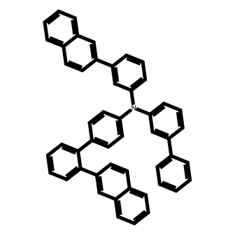 c1ccc(-c2cccc(N(c3ccc(-c4ccccc4-c4ccc5ccccc5c4)cc3)c3cccc(-c4ccc5ccccc5c4)c3)c2)cc1